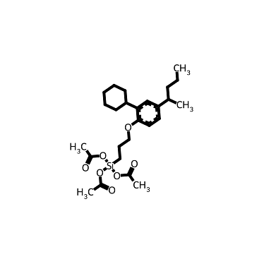 CCCC(C)c1ccc(OCCC[Si](OC(C)=O)(OC(C)=O)OC(C)=O)c(C2CCCCC2)c1